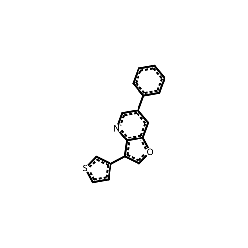 c1ccc(-c2cnc3c(-c4ccsc4)coc3c2)cc1